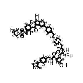 Cc1ncsc1-c1ccc(CNC(=O)[C@@H]2C[C@@H](O)CN2C(=O)[C@@H](NC(=O)CN2CCN(CCc3ccc(-c4cnc5[nH]cc(C(=O)c6c(F)ccc(NS(=O)(=O)N7CC[C@@H](F)C7)c6F)c5c4)cc3)CC2)C(C)(C)C)cc1